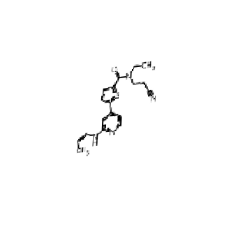 C/C=C\Nc1cc(-c2ccc(C(=O)N(CC)CCC#N)s2)ccn1